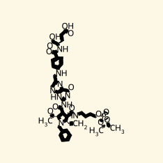 C=C[C@H]1C(C(=O)NCCCCOP(=O)(OCC)OCC)C(C(=O)Nc2nc(=O)c3nc(CNc4ccc(C(=O)N[C@H](CCC(=O)O)C(=O)O)cc4)cnc3[nH]2)[C@@H](C(C)=O)N1Cc1ccccc1